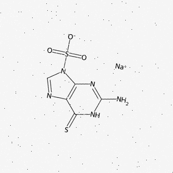 Nc1nc2c(ncn2S(=O)(=O)[O-])c(=S)[nH]1.[Na+]